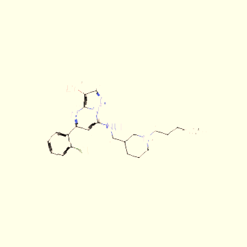 CSCCCN1CCCC(CNc2cc(-c3ccccc3Cl)nc3c(Br)cnn23)C1